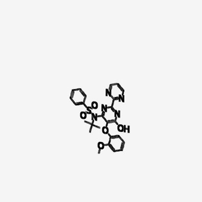 COc1ccccc1Oc1c(O)nc(-c2ncccn2)nc1N(C(C)(C)C)S(=O)(=O)c1ccccc1